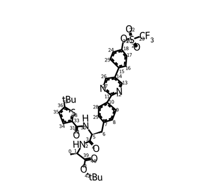 C[C@@H](NC(=O)[C@H](Cc1ccc(-c2ncc(-c3ccc(OS(=O)(=O)C(F)(F)F)cc3)cn2)cc1)NC(=O)c1ccc(C(C)(C)C)s1)C(=O)OC(C)(C)C